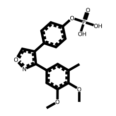 COc1cc(-c2nocc2-c2ccc(OP(=O)(O)O)cc2)cc(C)c1OC